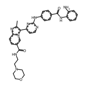 Cc1nc2ccc(C(=O)NCCN3CCOCC3)cn2c1-c1ccnc(Nc2ccc(C(=O)Nc3ccccc3N)cc2)n1